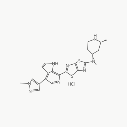 C[C@H]1C[C@@H](N(C)c2nc3sc(-c4ncc(-c5cnn(C)c5)c5cc[nH]c45)nc3s2)CCN1.Cl